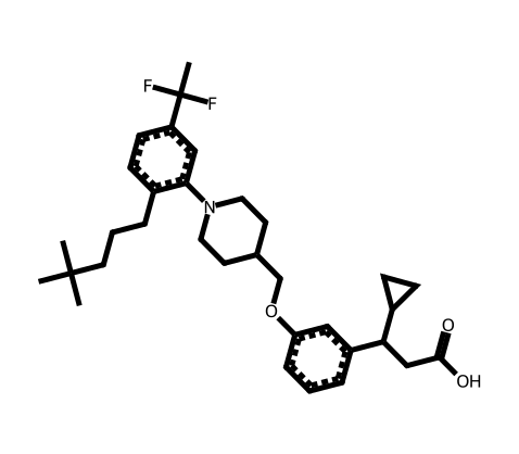 CC(C)(C)CCCc1ccc(C(C)(F)F)cc1N1CCC(COc2cccc(C(CC(=O)O)C3CC3)c2)CC1